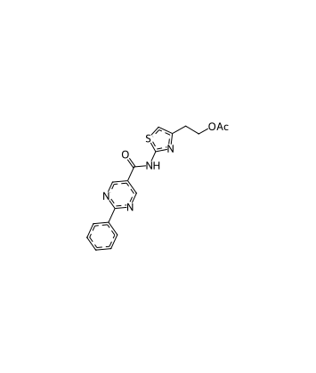 CC(=O)OCCc1csc(NC(=O)c2cnc(-c3ccccc3)nc2)n1